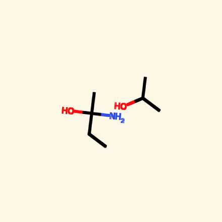 CC(C)O.CCC(C)(N)O